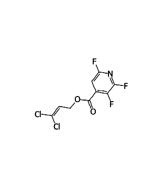 O=C(OCC=C(Cl)Cl)c1cc(F)nc(F)c1F